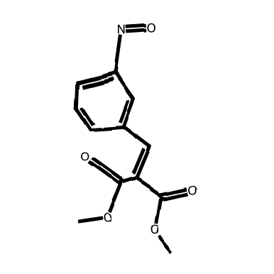 COC(=O)C(=Cc1cccc(N=O)c1)C(=O)OC